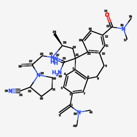 C=C(c1ccc2c(c1)CCc1cc(C(=O)N(C)C)ccc1C2(C[C@H](C)NCC(=C)N1CCCC1C#N)C(=N)N)N(C)C